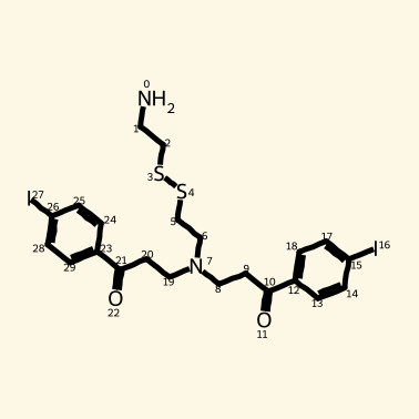 NCCSSCCN(CCC(=O)c1ccc(I)cc1)CCC(=O)c1ccc(I)cc1